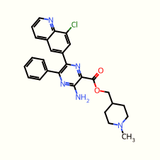 CN1CCC(COC(=O)c2nc(-c3cc(Cl)c4ncccc4c3)c(-c3ccccc3)nc2N)CC1